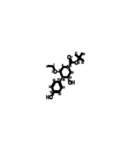 CCO[C@@H]1CN(C(=O)OC(C)(C)C)C[C@H](O)[C@H]1c1ccc(O)cc1